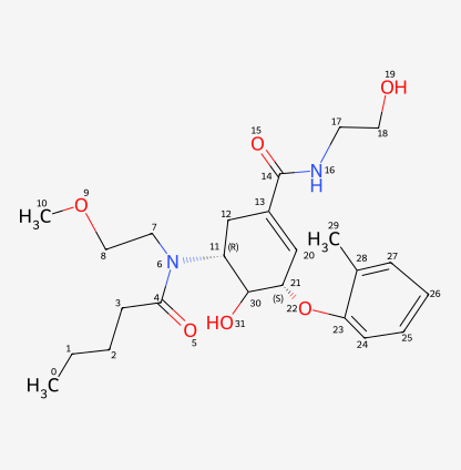 CCCCC(=O)N(CCOC)[C@@H]1CC(C(=O)NCCO)=C[C@H](Oc2ccccc2C)C1O